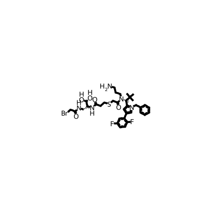 CC(C)(C)[C@H](c1cc(-c2cc(F)ccc2F)cn1Cc1ccccc1)N(CCCN)C(=O)CSCCC(=O)N[C@H](CNC(=O)CBr)C(O)O